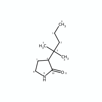 CCCC(C)(C)C1CCNC1=O